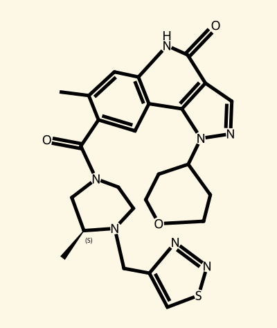 Cc1cc2[nH]c(=O)c3cnn(C4CCOCC4)c3c2cc1C(=O)N1CCN(Cc2csnn2)[C@@H](C)C1